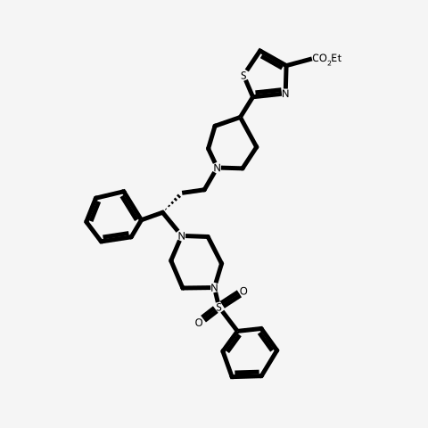 CCOC(=O)c1csc(C2CCN(CC[C@@H](c3ccccc3)N3CCN(S(=O)(=O)c4ccccc4)CC3)CC2)n1